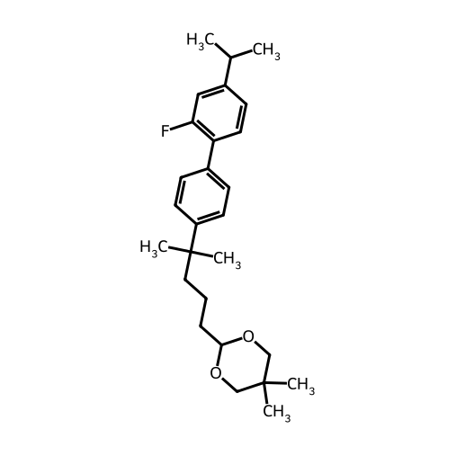 CC(C)c1ccc(-c2ccc(C(C)(C)CCCC3OCC(C)(C)CO3)cc2)c(F)c1